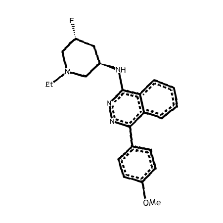 CCN1C[C@H](F)C[C@@H](Nc2nnc(-c3ccc(OC)cc3)c3ccccc23)C1